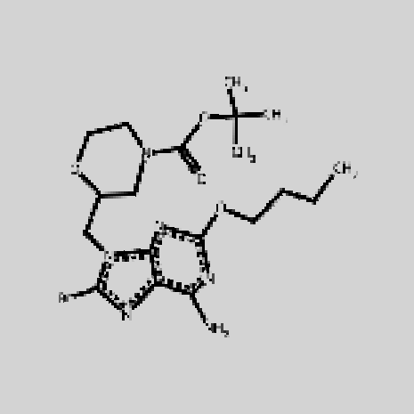 CCCCOc1nc(N)c2nc(Br)n(CC3CN(C(=O)OC(C)(C)C)CCO3)c2n1